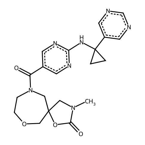 CN1CC2(COCCN(C(=O)c3cnc(NC4(c5cncnc5)CC4)nc3)C2)OC1=O